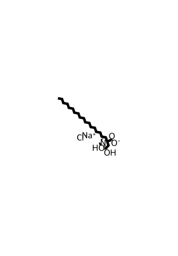 CCCCCCCCCCCCCCCCCCC(CC(O)O)(C(=O)[O-])[N+](C)(C)C.[Cl-].[Na+]